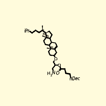 CCCCCCCCCCCCCC(=O)OC(CN)COC1CC[C@@]2(C)C(=CCC3C2CC[C@@]2(C)C3CC[C@@H]2[C@H](C)CCCC(C)C)C1